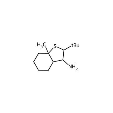 CC(C)(C)C1SC2(C)CCCCC2C1N